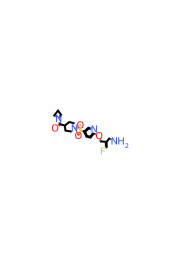 NC/C(=C/F)COc1ccc(S(=O)(=O)N2CCC(C(=O)N3CCC3)CC2)cn1